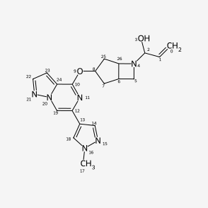 C=CC(O)N1CC2CC(Oc3nc(-c4cnn(C)c4)cn4nccc34)CC21